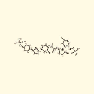 Cc1ccc(OCC(F)(F)F)c(N2C(=O)CS/C2=N\C(=O)Nc2ccc(-c3ncn(-c4ccc(OC(F)(F)F)cc4)n3)cc2F)c1